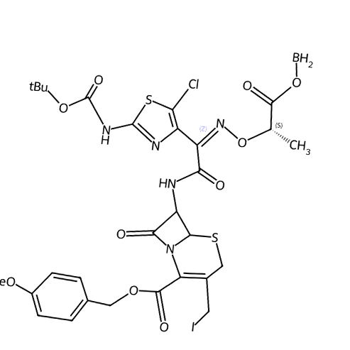 BOC(=O)[C@H](C)O/N=C(\C(=O)NC1C(=O)N2C(C(=O)OCc3ccc(OC)cc3)=C(CI)CSC12)c1nc(NC(=O)OC(C)(C)C)sc1Cl